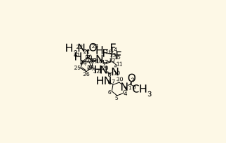 CC(=O)N1CCCC(Nc2ncc(C(F)(F)F)c(N[C@@H]3[C@H](C(N)=O)[C@H]4C=C[C@@H]3C4)n2)C1